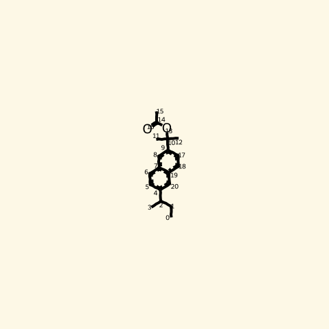 CCC(C)c1ccc2cc(C(C)(C)OC(C)=O)ccc2c1